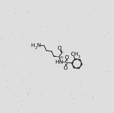 Cc1ccccc1S(=O)(=O)N[C@H]([C]=O)CCCCN